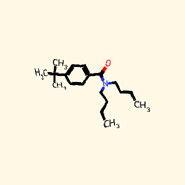 CCCCN(CCCC)C(=O)c1ccc(C(C)(C)C)cc1